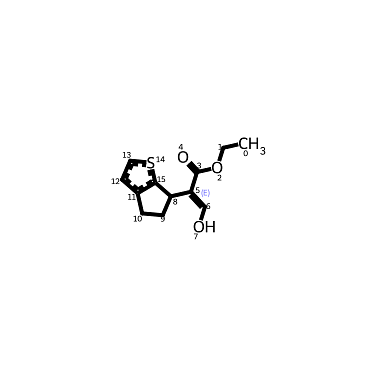 CCOC(=O)/C(=C/O)C1CCc2ccsc21